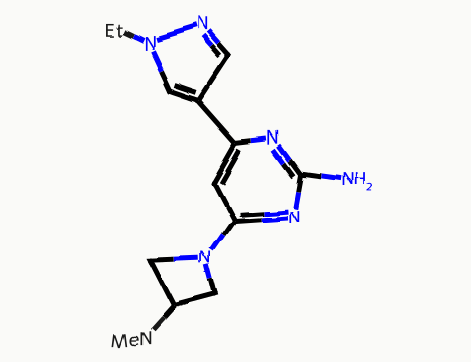 CCn1cc(-c2cc(N3CC(NC)C3)nc(N)n2)cn1